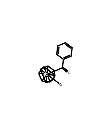 O=C(c1ccccc1)[C]12[CH]3[CH]4[CH]5[C]1(Cl)[Fe]45321678[CH]2[CH]1[CH]6[CH]7[CH]28